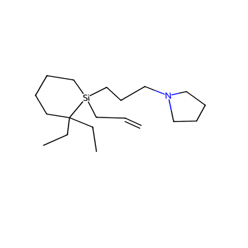 C=CC[Si]1(CCCN2CCCC2)CCCCC1(CC)CC